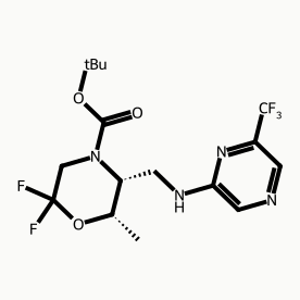 C[C@@H]1OC(F)(F)CN(C(=O)OC(C)(C)C)[C@@H]1CNc1cncc(C(F)(F)F)n1